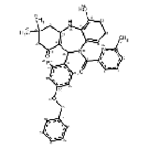 Cc1cccc(C(=O)N2C3=CCCC(O)=C3NC3=C(C(=O)CC(C)(C)C3)C2c2ccc(OCc3ccccc3)cc2F)n1